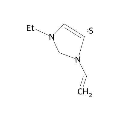 C=CN1C=CN(CC)C1.[S]